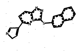 C1=NCC=C1c1ccc2nnc(Sc3ccc4ccccc4c3)n2n1